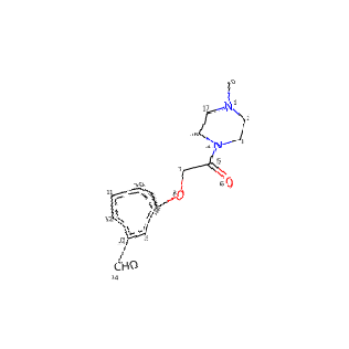 CN1CCN(C(=O)COc2cccc(C=O)c2)CC1